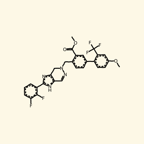 COC(=O)c1cc(-c2ccc(OC)cc2C(F)(F)F)ccc1CN1Cc2nc(-c3cccc(F)c3F)[nH]c2C=N1